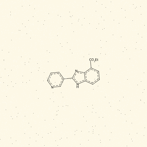 CCOC(=O)c1cccc2[nH]c(-c3cccnc3)nc12